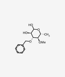 CO[C@H]1[C@H](OCc2ccccc2)[C@@H](O)C(O)O[C@@H]1C